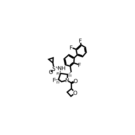 O=C(C1CCO1)N1C[C@H](F)[C@H](N[S+]([O-])C2CC2)[C@@H]1Cc1cccc(-c2cccc(F)c2F)c1F